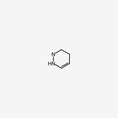 C1=CN[N]CC1